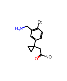 CCc1ccc(C2(CC(=O)N=O)CC2)cc1CN